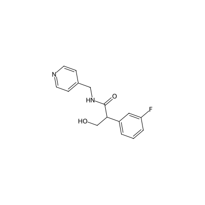 O=C(NCc1ccncc1)C(CO)c1cccc(F)c1